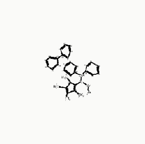 CCC(C)[NH][Zr]([C]1=C(C)C(C)=C(C)C1C)[SiH](c1ccccc1)c1ccccc1.c1ccc(-c2ccccc2)cc1